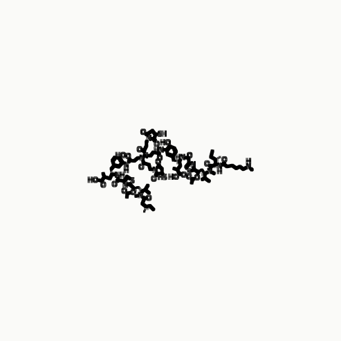 CC[C@H](C)CC(=O)N(C)[C@H](C[C@@H](OC(C)=O)c1nc(C(=O)N[C@@H](Cc2ccc(O)c(NC(=O)CCN(C(=O)CCN3C(=O)CC(S)C3=O)N(CCC(=O)Nc3cc(C[C@@H](CC(C)C(=O)O)NC(=O)c4csc([C@@H](C[C@H](C(C)C)N(C)C(=O)[C@@H](NC(=O)CCCCCNC)[C@@H](C)CC)OC(C)=O)n4)ccc3O)C(=O)CCN3C(=O)CC(S)C3=O)c2)CC(C)C(=O)O)cs1)C(C)C